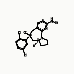 CCNc1ncc2c(n1)N1CCC[C@H]1C[N+]([O-])(c1cc(Cl)ccc1Cl)C2